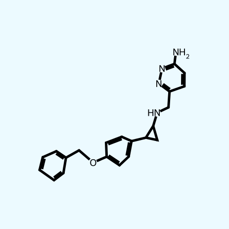 Nc1ccc(CNC2CC2c2ccc(OCc3ccccc3)cc2)nn1